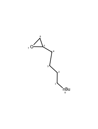 CCCCCCC[CH]C1CO1